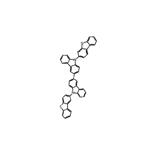 c1ccc2c(c1)sc1cc(-n3c4ccccc4c4cc(-c5ccc6c(c5)c5ccccc5n6-c5ccc6sc7ccccc7c6c5)ccc43)ccc12